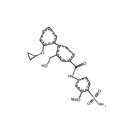 COc1cc(NC(=O)c2ccc(-c3ccccc3OC3CC3)c(CO)c2)ccc1S(N)(=O)=O